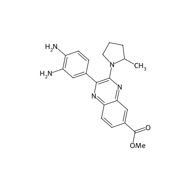 COC(=O)c1ccc2nc(-c3ccc(N)c(N)c3)c(N3CCCC3C)nc2c1